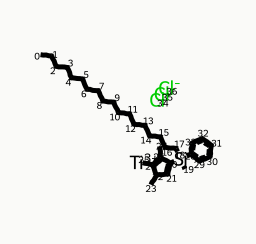 CCCCCCCCCCCCCCCCCC[Si](C)(C1=CC(C)[C]([Ti+3])=C1C)c1ccccc1.[Cl-].[Cl-].[Cl-]